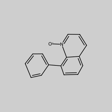 [O-][n+]1cccc2cccc(-c3ccccc3)c21